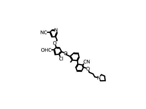 Cc1c(COc2cc(OCc3cncc(C#N)c3)c(C=O)cc2Cl)cccc1-c1cccc(OCCCN2CCCC2)c1C#N